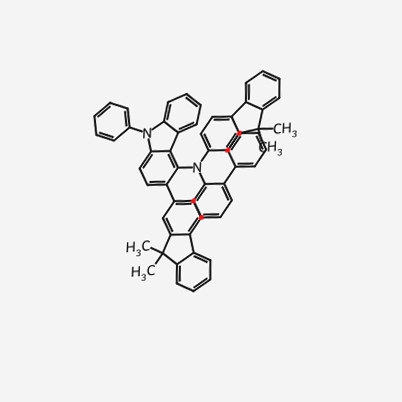 CC1(C)c2ccccc2-c2ccc(-c3ccc4c(c3N(c3ccc5c(c3)C(C)(C)c3ccccc3-5)c3ccccc3-c3ccccc3)c3ccccc3n4-c3ccccc3)cc21